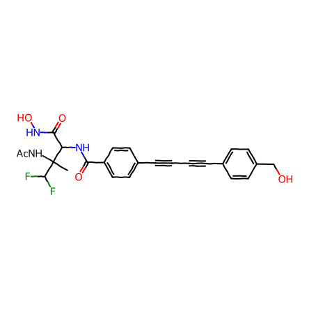 CC(=O)NC(C)(C(F)F)C(NC(=O)c1ccc(C#CC#Cc2ccc(CO)cc2)cc1)C(=O)NO